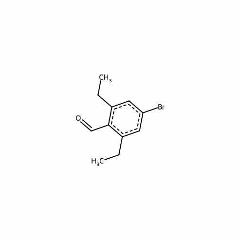 CCc1cc(Br)cc(CC)c1C=O